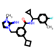 Cc1cc(C(NC(=O)c2cc(Cn3ccn(C)c3=N)cc(C3CCC3)c2)C2CC2)ccc1F